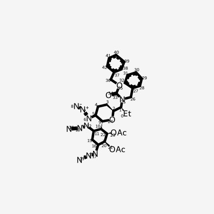 CC[C@H]([C@@H]1CCC(N=[N+]=[N-])[C@@H](C2C(N=[N+]=[N-])CC(N=[N+]=[N-])[C@H](OC(C)=O)[C@H]2OC(C)=O)O1)N(Cc1ccccc1)C(=O)OCc1ccccc1